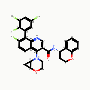 O=C(N[C@H]1CCOc2ccccc21)c1cnc2c(-c3cc(F)cc(F)c3F)c(F)ccc2c1N1CCOC2CC21